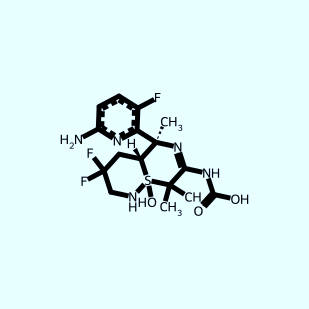 CC1(C)C(NC(=O)O)=N[C@](C)(c2nc(N)ccc2F)[C@H]2CC(F)(F)CNS21O